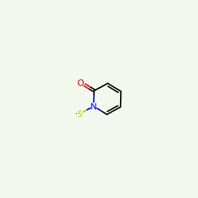 O=c1ccccn1[S]